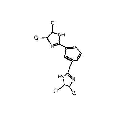 ClC1N=C(c2cccc(C3=NC(Cl)C(Cl)N3)c2)NC1Cl